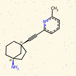 Cc1cccc(C#C[C@@]23CCC[C@@](N)(CC2)C3)n1